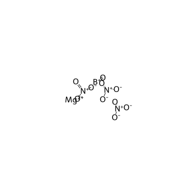 O=[N+]([O-])[O-].O=[N+]([O-])[O-].O=[N+]([O-])[O-].[B+]=O.[Mg+2]